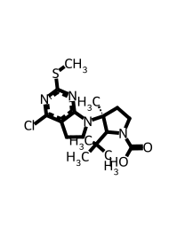 CSc1nc(Cl)c2c(n1)N([C@@]1(C)CCN(C(=O)O)C1C(C)(C)C)CC2